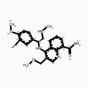 CNC[C@@H](Nc1c(COC)cnc2c(C(N)=O)cccc12)c1ccc(OC)c(F)c1